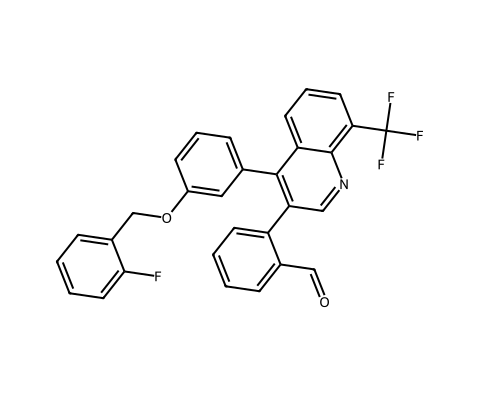 O=Cc1ccccc1-c1cnc2c(C(F)(F)F)cccc2c1-c1cccc(OCc2ccccc2F)c1